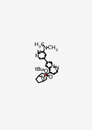 CN(C)c1cc(-c2cc3c(N4CC5CCC(C4)N5C(=O)OC(C)(C)C)ccnn3c2)cnn1